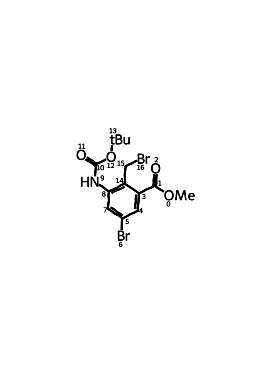 COC(=O)c1cc(Br)cc(NC(=O)OC(C)(C)C)c1CBr